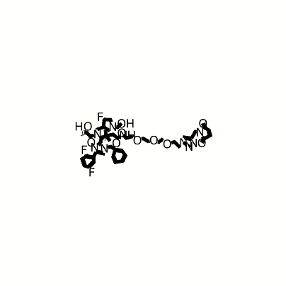 C[C@H](O)C(=O)N(CC1CN(C(=O)O)CC1F)[C@@H](c1nc(-c2cc(F)ccc2F)cn1Cc1ccccc1)C(C)(C)CC(=O)NCCOCCOCCOCCn1cc(CN2C(=O)C=CC2=O)nn1